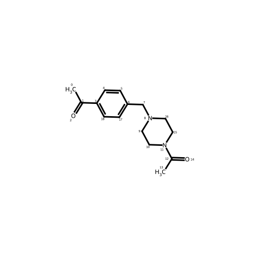 CC(=O)c1ccc(CN2CCN(C(C)=O)CC2)cc1